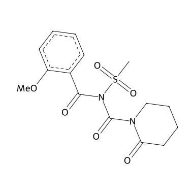 COc1ccccc1C(=O)N(C(=O)N1CCCCC1=O)S(C)(=O)=O